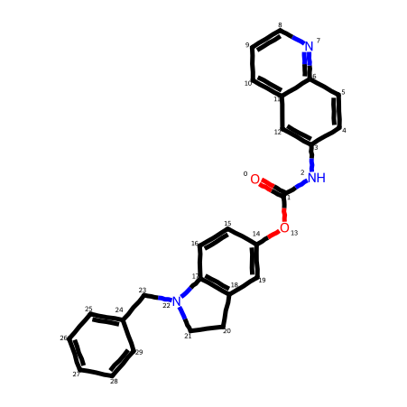 O=C(Nc1ccc2ncccc2c1)Oc1ccc2c(c1)CCN2Cc1ccccc1